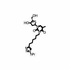 CCCn1cc(CCCCCCn2c(=O)c(C)cn(C3CC(O)[C@@H](CO)S3)c2=O)nn1